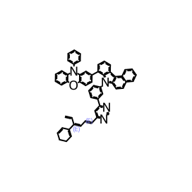 C=C/C(=C\C=C\c1cc(-c2cccc(-n3c4ccc5ccccc5c4c4cccc(-c5ccc6c(c5)N(c5ccccc5)c5ccccc5O6)c43)c2)ncn1)C1=CCCC=C1